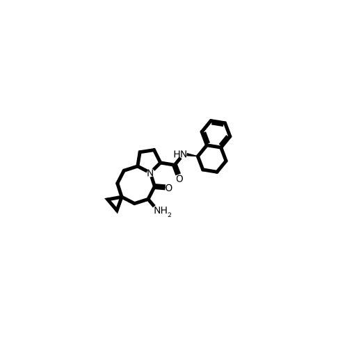 NC1CC2(CCC3CCC(C(=O)N[C@@H]4CCCc5ccccc54)N3C1=O)CC2